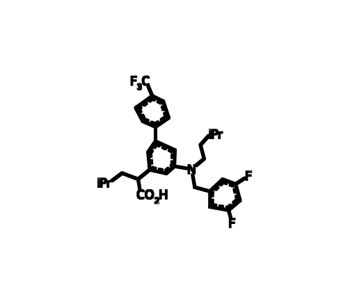 CC(C)CCN(Cc1cc(F)cc(F)c1)c1cc(-c2ccc(C(F)(F)F)cc2)cc(C(CC(C)C)C(=O)O)c1